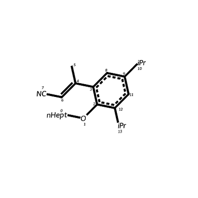 CCCCCCCOc1c(C(C)=CC#N)cc(C(C)C)cc1C(C)C